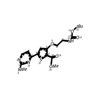 CNc1nccc(-c2cc(OCCNC(=O)OC(C)(C)C)c(C(=O)OC)s2)n1